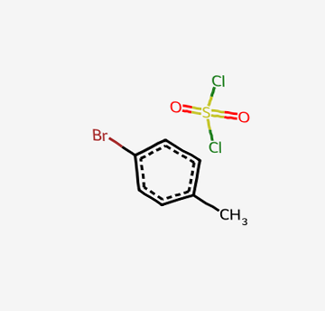 Cc1ccc(Br)cc1.O=S(=O)(Cl)Cl